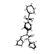 O=C(Nc1nccs1)C(CC1CCCC1)c1ccc(S(=O)(=O)C2CCCCC2)cc1